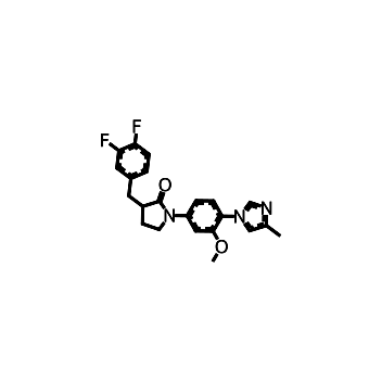 COc1cc(N2CCC(Cc3ccc(F)c(F)c3)C2=O)ccc1-n1cnc(C)c1